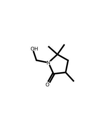 CC1CC(C)(C)N(CO)C1=O